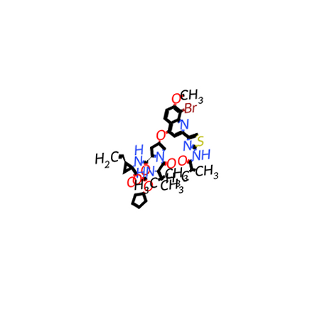 C=C[C@@H]1C[C@@]1(C=O)NC(=O)[C@@H]1C[C@@H](Oc2cc(-c3csc(NC(=O)C(C)C)n3)nc3c(Br)c(OC)ccc23)CN1C(=O)[C@@H](NC(=O)OC1CCCC1)C(C)(C)C